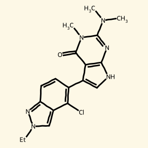 CCn1cc2c(Cl)c(-c3c[nH]c4nc(N(C)C)n(C)c(=O)c34)ccc2n1